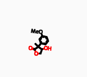 COc1cccc(C2(C)C(=O)OCC2O)c1